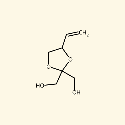 C=CC1COC(CO)(CO)O1